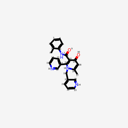 Cc1ccccc1NC(=O)c1c(-c2cccnc2)n(Cc2cccnc2)c(C)cc1=O